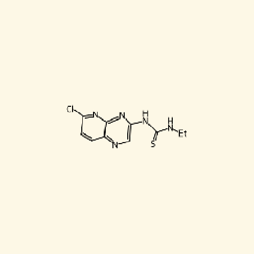 CCNC(=S)Nc1cnc2ccc(Cl)nc2n1